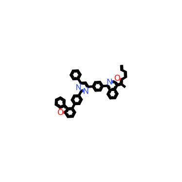 C=C/C=C\c1oc2nc(-c3ccc(-c4cc(-c5ccccc5)nc(-c5ccc(-c6cccc7oc8ccccc8c67)cc5)n4)cc3)c3ccccc3c2c1C